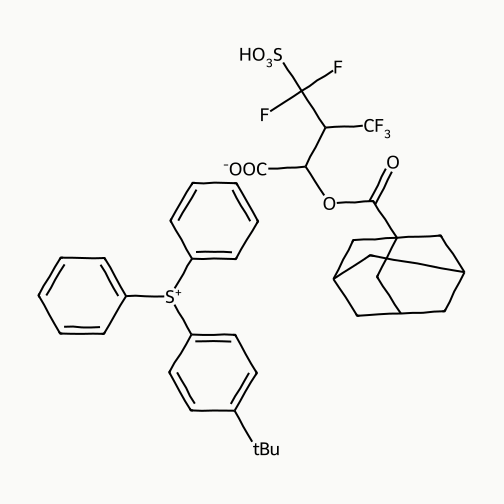 CC(C)(C)c1ccc([S+](c2ccccc2)c2ccccc2)cc1.O=C([O-])C(OC(=O)C12CC3CC(CC(C3)C1)C2)C(C(F)(F)F)C(F)(F)S(=O)(=O)O